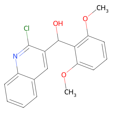 COc1cccc(OC)c1C(O)c1cc2ccccc2nc1Cl